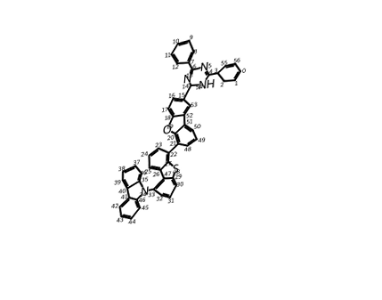 C1=CCC(C2=NC(c3ccccc3)=NC(c3ccc4oc5c(-c6cccc7c6sc6cccc(-n8c9ccccc9c9ccccc98)c67)cccc5c4c3)N2)C=C1